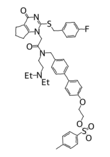 CCN(CC)CCN(Cc1ccc(-c2ccc(OCCOS(=O)(=O)c3ccc(C)cc3)cc2)cc1)C(=O)Cn1c(SCc2ccc(F)cc2)nc(=O)c2c1CCC2